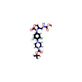 COC(=O)NCC1COC(=O)N1c1cc(F)c(N2CCN(C(=O)OC(C)(C)C)CC2)c(F)c1